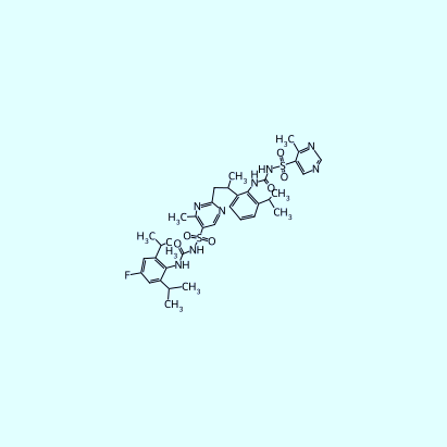 Cc1nc(CC(C)c2cccc(C(C)C)c2NC(=O)NS(=O)(=O)c2cncnc2C)ncc1S(=O)(=O)NC(=O)Nc1c(C(C)C)cc(F)cc1C(C)C